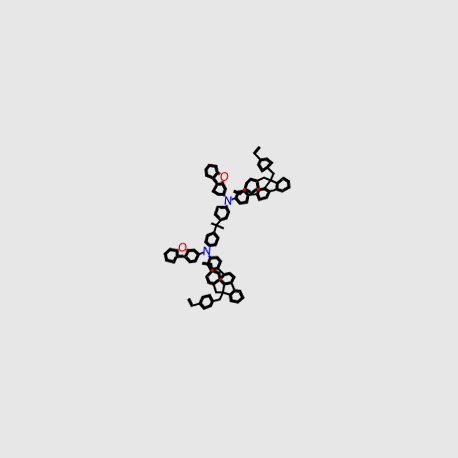 C=Cc1ccc(CC2(Cc3ccc(C=C)cc3)c3ccccc3-c3ccc(-c4ccc(N(c5ccc(C(C)(C)c6ccc(N(c7ccc(-c8ccc9c(c8)C(Cc8ccc(C=C)cc8)(Cc8ccc(C=C)cc8)c8ccccc8-9)cc7)c7ccc8c(c7)oc7ccccc78)cc6)cc5)c5ccc6c(c5)oc5ccccc56)cc4)cc32)cc1